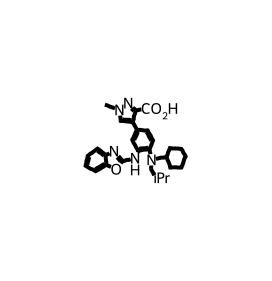 CC(C)CN(c1ccc(-c2cn(C)nc2C(=O)O)cc1Nc1nc2ccccc2o1)C1CCCCC1